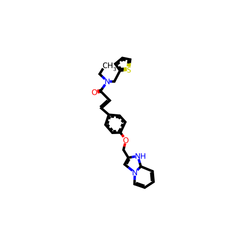 CCN(Cc1cccs1)C(=O)/C=C/c1ccc(OCC2=CN3C=CC=CC3N2)cc1